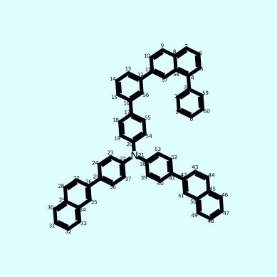 c1ccc(-c2cccc3ccc(-c4cccc(-c5ccc(N(c6ccc(-c7ccc8ccccc8c7)cc6)c6ccc(-c7ccc8ccccc8c7)cc6)cc5)c4)cc23)cc1